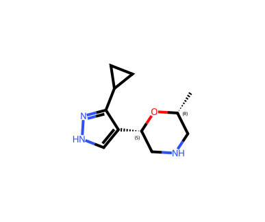 C[C@@H]1CNC[C@H](c2c[nH]nc2C2CC2)O1